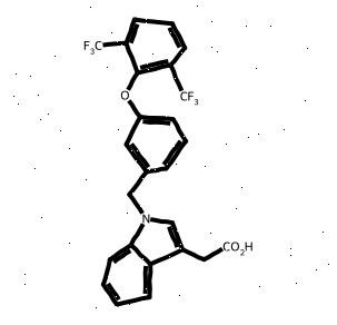 O=C(O)Cc1cn(Cc2cccc(Oc3c(C(F)(F)F)cccc3C(F)(F)F)c2)c2ccccc12